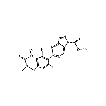 CN(Cc1cc(F)c(-c2ncc3c(cnn3C(=O)OC(C)(C)C)n2)c(F)c1)C(=O)OC(C)(C)C